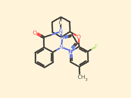 Cc1cnc(OC2CC3CCC2N(C(=O)c2ccccc2-n2nccn2)C3)c(F)c1